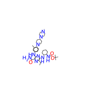 CCc1nc(C(N)=O)c(Nc2ccc(N3CCC(N4CCN(C)CC4)CC3)c(C)c2)nc1N[C@@H]1CCCC[C@@H]1NC(=O)OC(C)(C)C